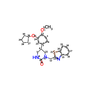 COc1ccc(C2CNC(=O)N(Cc3nc4ccccc4s3)C2)cc1OC1CCCC1